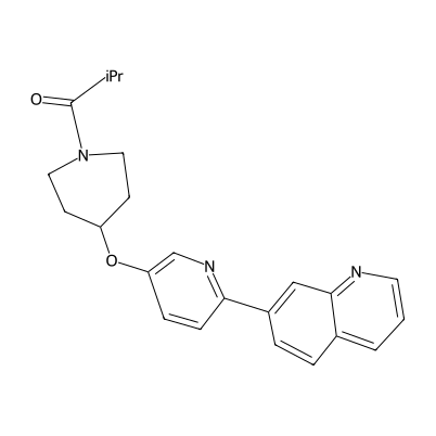 CC(C)C(=O)N1CCC(Oc2ccc(-c3ccc4cccnc4c3)nc2)CC1